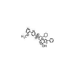 COc1ccncc1-c1ccc(S(=O)(=O)N2CC(=O)N(c3cc(-c4ccccc4)sc3C(=O)O)[C@H](C3CCCCC3)C2)cn1